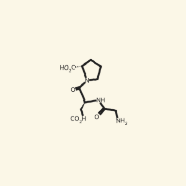 NCC(=O)N[C@@H](CC(=O)O)C(=O)N1CCC[C@H]1C(=O)O